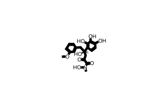 COc1cccc(C[C@@](O)(CC(=O)C(=O)N(C)O)c2ccc(O)c(O)c2O)c1